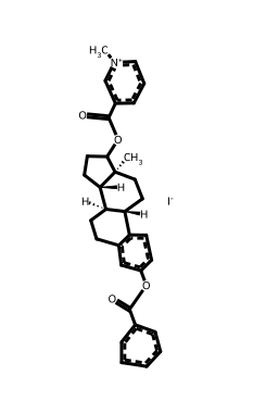 C[n+]1cccc(C(=O)OC2CC[C@H]3[C@@H]4CCc5cc(OC(=O)c6ccccc6)ccc5[C@H]4CC[C@]23C)c1.[I-]